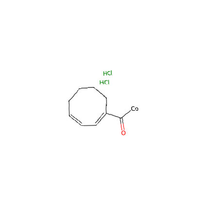 Cl.Cl.O=[C]([Co])C1=CC=CCCCC1